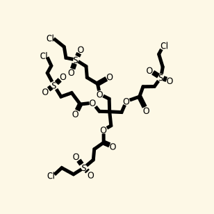 O=C(CCS(=O)(=O)CCCl)OCC(COC(=O)CCS(=O)(=O)CCCl)(COC(=O)CCS(=O)(=O)CCCl)COC(=O)CCS(=O)(=O)CCCl